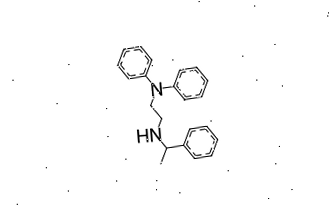 CC(NCCN(c1ccccc1)c1ccccc1)c1ccccc1